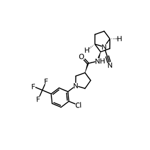 N#CN1[C@H]2CC[C@@H]1[C@H](NC(=O)[C@H]1CCN(c3cc(C(F)(F)F)ccc3Cl)C1)C2